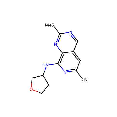 CSc1ncc2cc(C#N)nc(NC3CCOC3)c2n1